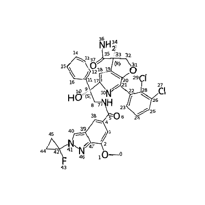 COc1cc(C(=O)NC[C@@](O)(c2ccccc2)c2cc3c(c(-c4cccc(Cl)c4Cl)n2)OC[C@]3(C)C(N)=O)cc2cn(C3(F)CC3)nc12